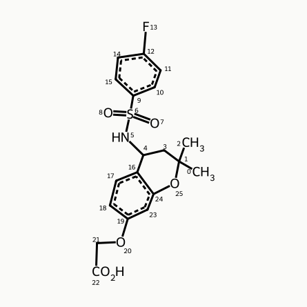 CC1(C)CC(NS(=O)(=O)c2ccc(F)cc2)c2ccc(OCC(=O)O)cc2O1